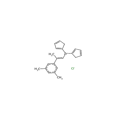 C/C(=[CH]\[Zr+]([C]1=CC=CC1)[C]1=CC=CC1)c1cc(C)cc(C)c1.[Cl-]